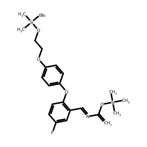 C=C(/N=C/c1cc(F)ccc1Oc1ccc(OCCO[Si](C)(C)C(C)(C)C)cc1)O[Si](C)(C)C